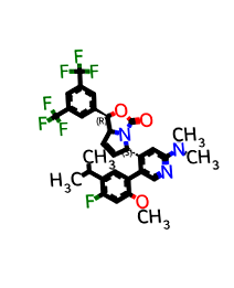 COc1cc(F)c(C(C)C)cc1-c1cnc(N(C)C)cc1[C@@H]1C=CC2[C@@H](c3cc(C(F)(F)F)cc(C(F)(F)F)c3)OC(=O)N21